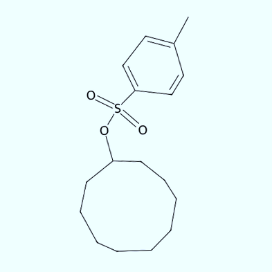 Cc1ccc(S(=O)(=O)OC2CCCCCCCCC2)cc1